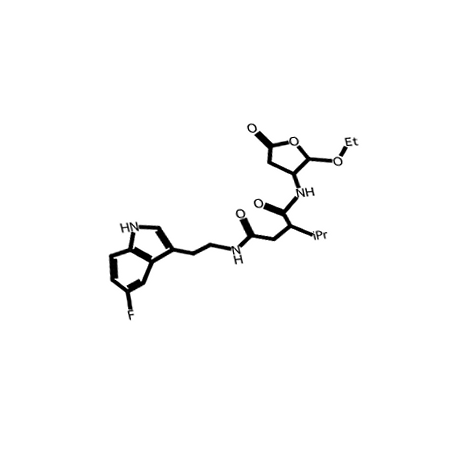 CCOC1OC(=O)CC1NC(=O)C(CC(=O)NCCc1c[nH]c2ccc(F)cc12)C(C)C